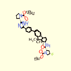 CC(C)(C)OC(=O)N1C[C@@H](F)C[C@H]1C(=O)Nc1ccc2c(c1)C(C)(C)c1cc(-c3ccc(-c4cnc([C@@H]5CCCN5C(=O)OC(C)(C)C)[nH]4)cc3)ccc1-2